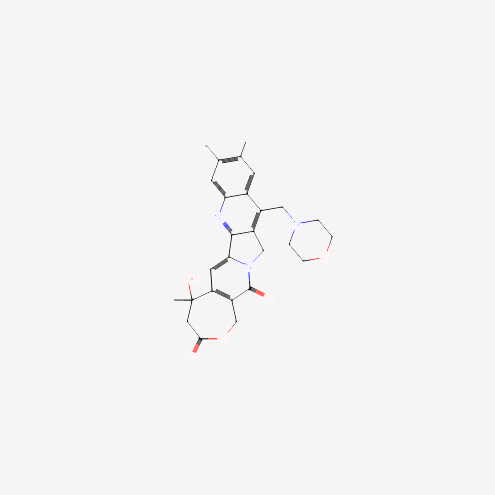 CCC1(O)CC(=O)OCc2c1cc1n(c2=O)Cc2c-1nc1cc(Cl)c(C)cc1c2CN1CCOCC1